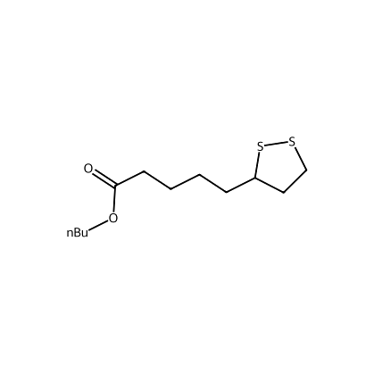 CCCCOC(=O)CCCCC1CCSS1